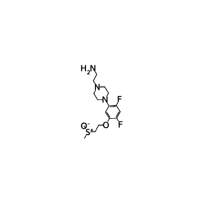 C[S+]([O-])CCOc1cc(N2CCN(CCN)CC2)c(F)cc1F